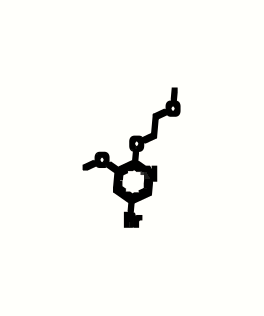 COCCOc1ncc(Br)cc1OC